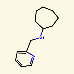 c1ccc(CNC2CCCCCC2)nc1